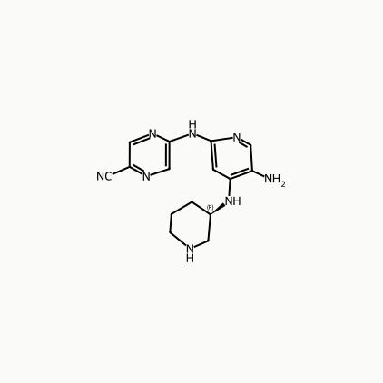 N#Cc1cnc(Nc2cc(N[C@@H]3CCCNC3)c(N)cn2)cn1